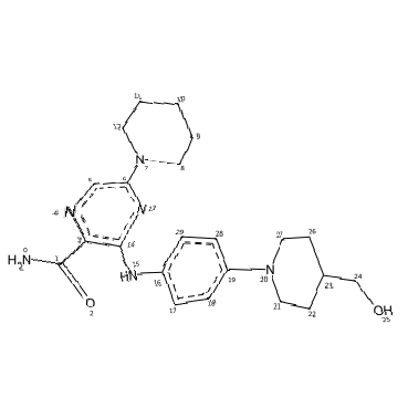 NC(=O)c1ncc(N2CCCCC2)nc1Nc1ccc(N2CCC(CO)CC2)cc1